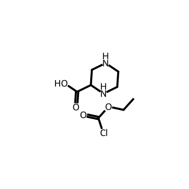 CCOC(=O)Cl.O=C(O)C1CNCCN1